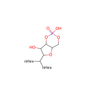 CCCCCCC(CCCCCC)C1OC2COP(=O)(O)OC2C1O